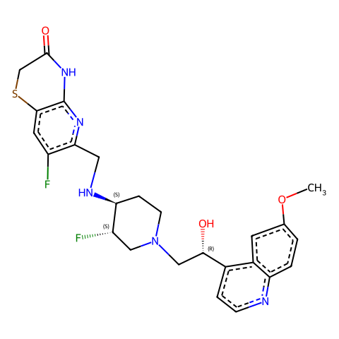 COc1ccc2nccc([C@@H](O)CN3CC[C@H](NCc4nc5c(cc4F)SCC(=O)N5)[C@@H](F)C3)c2c1